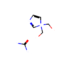 NC(N)=O.OC[N+]1(CO)C=CN=C1